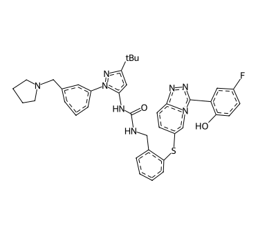 CC(C)(C)c1cc(NC(=O)NCc2ccccc2Sc2ccc3nnc(-c4cc(F)ccc4O)n3c2)n(-c2cccc(CN3CCCC3)c2)n1